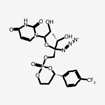 C[C@H](O)[C@](COP1(=O)OCC[C@@H](c2ccc(C(F)(F)F)cc2)O1)(N=[N+]=[N-])OC(CO)n1ccc(=O)[nH]c1=O